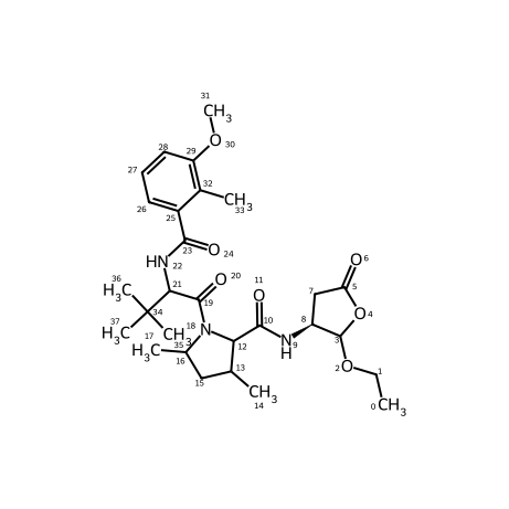 CCOC1OC(=O)C[C@@H]1NC(=O)C1C(C)CC(C)N1C(=O)C(NC(=O)c1cccc(OC)c1C)C(C)(C)C